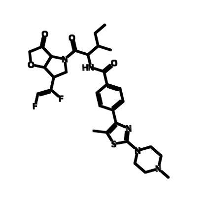 CCC(C)C(NC(=O)c1ccc(-c2nc(N3CCN(C)CC3)sc2C)cc1)C(=O)N1CC(C(F)=CF)C2OCC(=O)C21